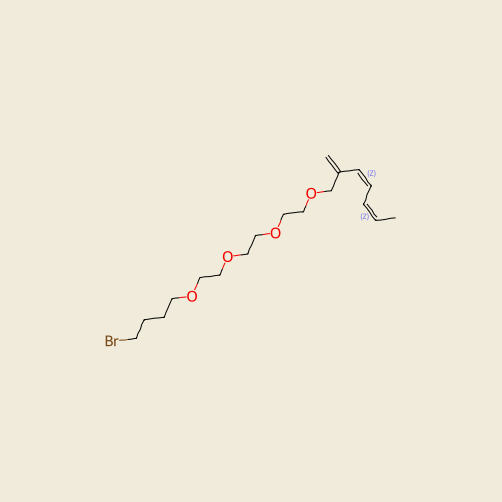 C=C(/C=C\C=C/C)COCCOCCOCCOCCCCBr